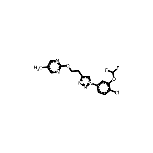 Cc1cnc(OCCc2cn(-c3ccc(Cl)c(OC(F)F)c3)nn2)nc1